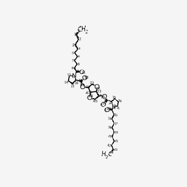 C=CCCCCCCCCC(=O)N1CCCC1C(=O)OC1COC2C(OC(=O)C3CCCN3C(=O)CCCCCCCCC=C)COC12